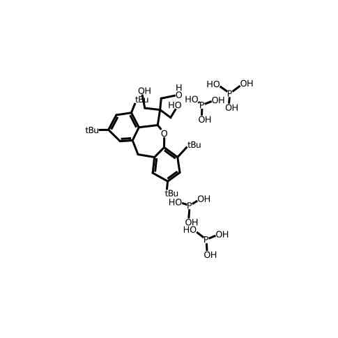 CC(C)(C)c1cc2c(c(C(C)(C)C)c1)OC(C(CO)(CO)CO)c1c(cc(C(C)(C)C)cc1C(C)(C)C)C2.OP(O)O.OP(O)O.OP(O)O.OP(O)O